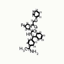 CC(N)c1ccc([C@@H](NC(=O)[C@@H]2C[C@@H](F)CN2C(=O)COc2cccnn2)c2ccccc2)cc1